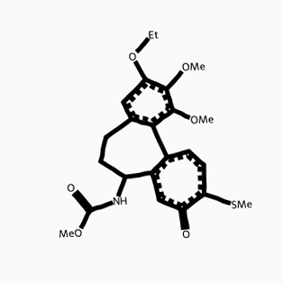 CCOc1cc2c(c(OC)c1OC)-c1ccc(SC)c(=O)cc1C(NC(=O)OC)CC2